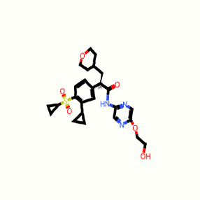 O=C(Nc1cnc(OCCO)cn1)[C@H](CC1CCOCC1)c1ccc(S(=O)(=O)C2CC2)c(C2CC2)c1